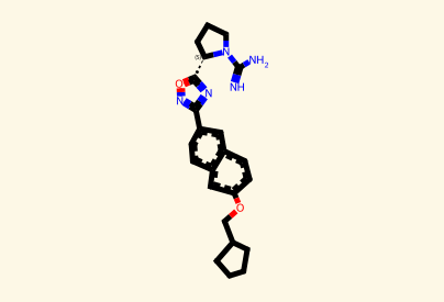 N=C(N)N1CCC[C@H]1c1nc(-c2ccc3cc(OCC4CCCC4)ccc3c2)no1